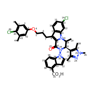 Cc1cc(OCCCc2c3n(c4cc(Cl)ccc24)C(C)[C@@H](c2c(C)nn(C)c2C)N(n2ccc4c(C(=O)O)cccc42)C3=O)cc(C)c1Cl